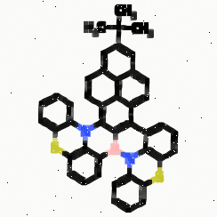 CC(C)(C)c1cc2ccc3c4c5c(c6ccc(c1)c2c36)N1c2ccccc2Sc2cccc(c21)B5N1c2ccccc2Sc2cccc-4c21